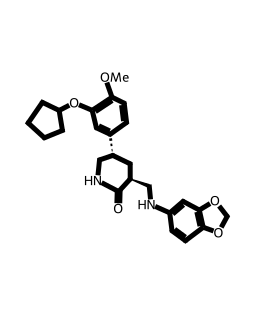 COc1ccc([C@H]2CNC(=O)[C@H](CNc3ccc4c(c3)OCO4)C2)cc1OC1CCCC1